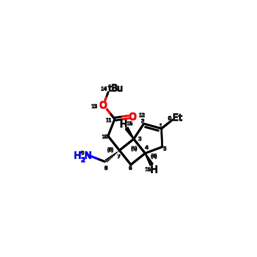 CCC1=C[C@@H]2[C@H](C1)C[C@@]2(CN)CC(=O)OC(C)(C)C